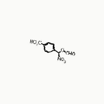 O=COC(c1ccc(C(=O)O)cc1)[N+](=O)[O-]